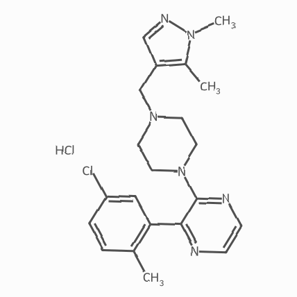 Cc1ccc(Cl)cc1-c1nccnc1N1CCN(Cc2cnn(C)c2C)CC1.Cl